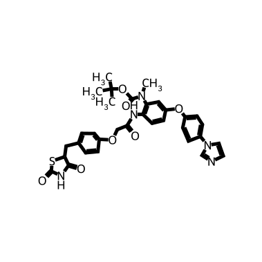 CN(C(=O)OC(C)(C)C)c1cc(Oc2ccc(-n3ccnc3)cc2)ccc1NC(=O)COc1ccc(CC2SC(=O)NC2=O)cc1